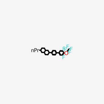 CCCC1CCC2CC(c3ccc(-c4cc(F)c(OC(F)(F)C(F)F)c(F)c4)cc3)CCC2C1